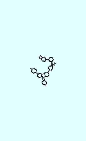 Cc1ccc(-c2ccc3c(c2)c2cc(-c4ccc(N(C)C5=CCCC(c6ccc7c(c6)CC7)=C5)cc4)ccc2n3-c2ccccc2)cc1